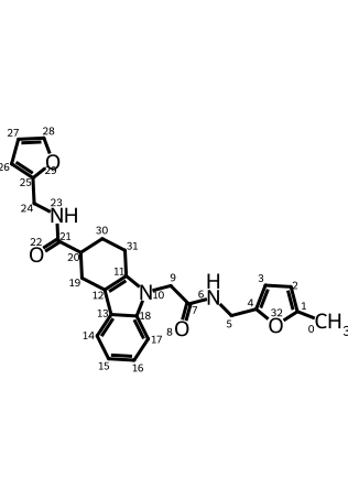 Cc1ccc(CNC(=O)Cn2c3c(c4ccccc42)CC(C(=O)NCc2ccco2)CC3)o1